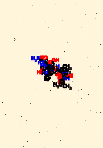 CC(C)C[C@H](NC(=O)[C@H](CO)NC(=O)[C@H](CC(C)C)NC(=O)[C@H](Cc1c[nH]c2ccccc12)NC(=O)[C@H](CC(=O)O)NC(=O)[C@H](CC(=O)O)NC(=O)[C@H](CO)NC(=O)CN)C(=O)O